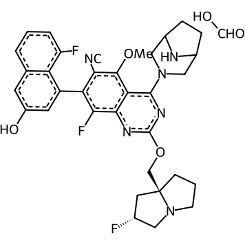 COc1c(C#N)c(-c2cc(O)cc3cccc(F)c23)c(F)c2nc(OC[C@@]34CCCN3C[C@H](F)C4)nc(N3CC4CCC(C3)N4)c12.O=CO